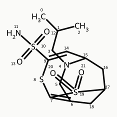 CC(C)CN1CC2=C3SC(S(N)(=O)=O)=CC1CC(C2)S3(=O)=O